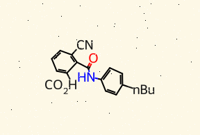 CCCCc1ccc(NC(=O)c2c(C#N)cccc2C(=O)O)cc1